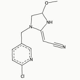 COC1CN(Cc2ccc(Cl)nc2)/C(=C/C#N)N1